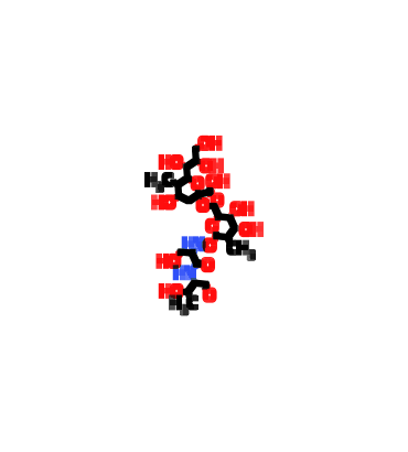 CC1[C@@H](ONC(CO)C(=O)N[C@H](C=O)[C@@H](C)O)OC(CO[C@]2(C(=O)O)C[C@@H](O)[C@@H](C)C([C@H](O)[C@H](O)CO)O2)[C@H](O)[C@@H]1O